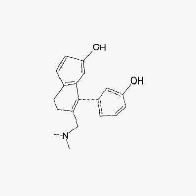 CN(C)CC1=C(c2cccc(O)c2)c2cc(O)ccc2CC1